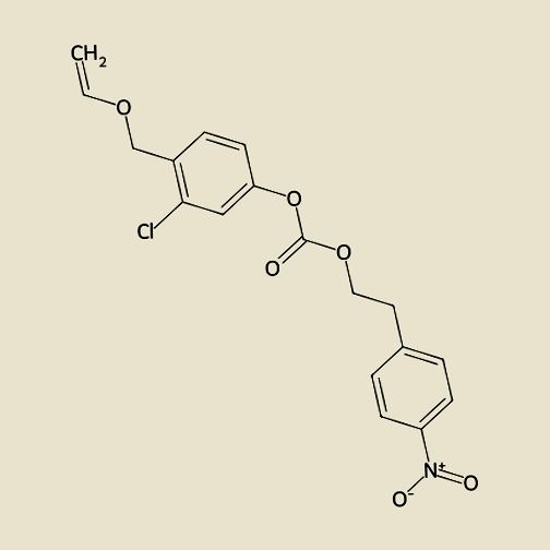 C=COCc1ccc(OC(=O)OCCc2ccc([N+](=O)[O-])cc2)cc1Cl